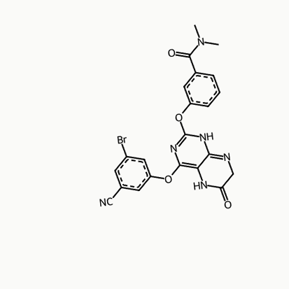 CN(C)C(=O)c1cccc(OC2=NC(Oc3cc(Br)cc(C#N)c3)=C3NC(=O)CN=C3N2)c1